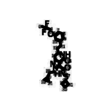 CC(F)(F)COc1cccc(CCC2Cc3nn(CCC4CC4)c(C(=O)NSC4CCC4)c3C(=O)N2)c1